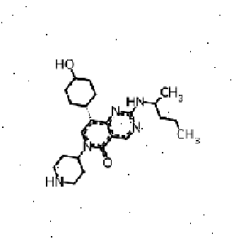 CCCC(C)Nc1ncc2c(=O)n(C3CCNCC3)cc([C@H]3CC[C@H](O)CC3)c2n1